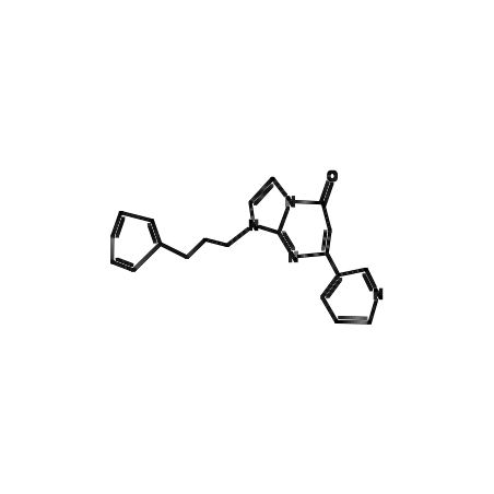 O=c1cc(-c2cccnc2)nc2n(CCCc3ccccc3)ccn12